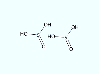 O=S(O)O.O=S(O)O